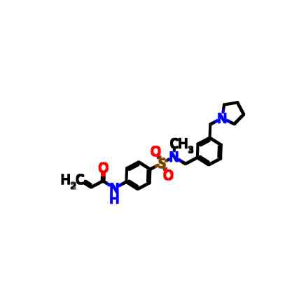 C=CC(=O)Nc1ccc(S(=O)(=O)N(C)Cc2cccc(CN3CCCC3)c2)cc1